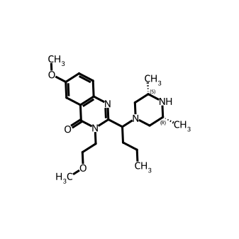 CCCC(c1nc2ccc(OC)cc2c(=O)n1CCOC)N1C[C@@H](C)N[C@@H](C)C1